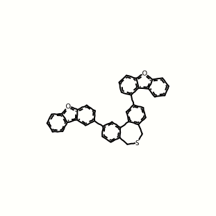 c1ccc2c(c1)oc1ccc(-c3ccc4c(c3)-c3cc(-c5cccc6oc7ccccc7c56)ccc3CSC4)cc12